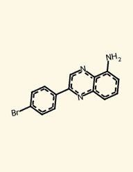 Nc1cccc2nc(-c3ccc(Br)cc3)cnc12